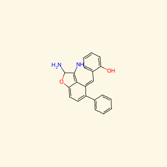 NC1=c2c(ccc(-c3ccccc3)c2=Cc2ccccc2O)OC1N